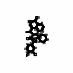 CC(c1c[nH]c(=O)c2ccccc12)N(CC1(O)CCCCC1)C(=O)Nc1ccc(F)c(Cl)c1